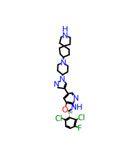 Fc1ccc(Cl)c([C@H]2Nc3ncc(-c4cnn(C5CCN(C6CCC7(CCNCC7)CC6)CC5)c4)cc3O2)c1Cl